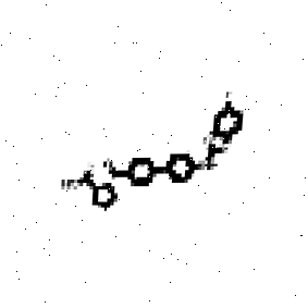 O=C(O)C1CCC[C@H]1C(=O)c1ccc(-c2ccc(Nc3nc4ccc(F)cc4o3)cc2)cc1